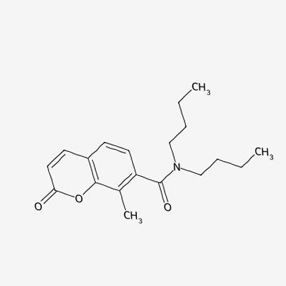 CCCCN(CCCC)C(=O)c1ccc2ccc(=O)oc2c1C